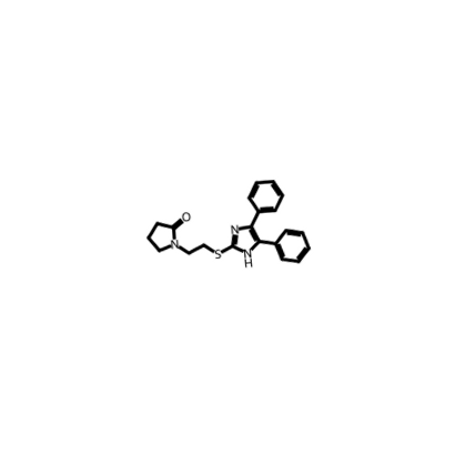 O=C1CCCN1CCSc1nc(-c2ccccc2)c(-c2ccccc2)[nH]1